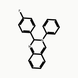 Fc1ccc(C2N=c3ccccc3=CN2c2ccccc2)cc1